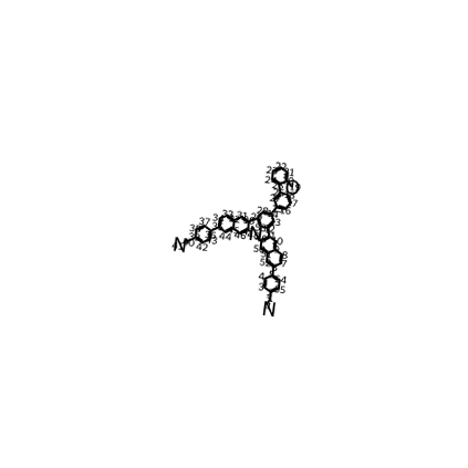 N#Cc1ccc(-c2ccc3cc4c5cc(-c6ccc7oc8ccccc8c7c6)cc6c7cc8ccc(-c9ccc(C#N)cc9)cc8cc7n(c4cc3c2)c56)cc1